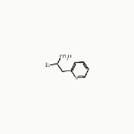 CCC(Cc1ccccn1)C(=O)O